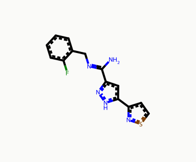 NC(=NCc1ccccc1F)c1cc(-c2ccsn2)[nH]n1